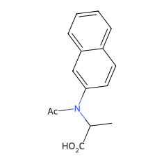 CC(=O)N(c1ccc2ccccc2c1)C(C)C(=O)O